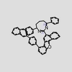 c1ccc(/C2=N/C(c3cc4c(oc5cccc(-c6ccc(-c7ccc8ccccc8c7)cc6)c54)c4ccccc34)=N\C(c3ccccc3)CCC2)cc1